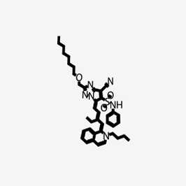 CCCCCCCCOCc1nc2c(C#N)c(S(=O)(=O)Nc3ccccc3)\c(=C/C=C(/C=C3\c4ccccc4C=CN3CCCC)CC)n2n1